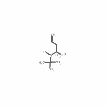 C=CCC(C(=O)O)N(CC)C(C)(N)N.Cl